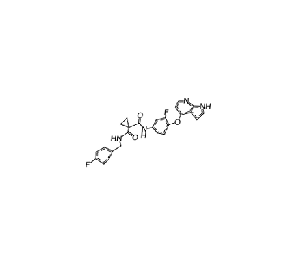 O=C(NCc1ccc(F)cc1)C1(C(=O)Nc2ccc(Oc3ccnc4[nH]ccc34)c(F)c2)CC1